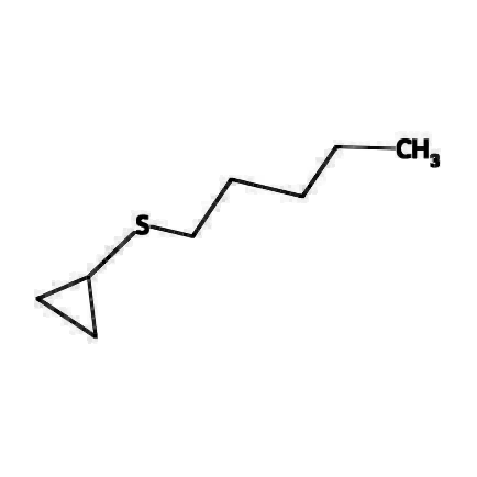 CCCCCSC1CC1